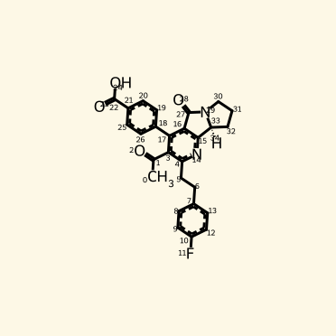 CC(=O)c1c(CCc2ccc(F)cc2)nc2c(c1-c1ccc(C(=O)O)cc1)C(=O)N1CCC[C@@H]21